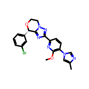 COc1nc(-c2nc3n(n2)CCO[C@H]3c2cccc(Br)c2)ccc1-n1cnc(C)c1